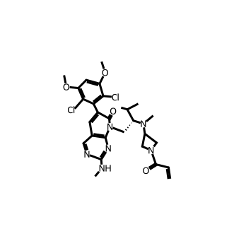 C=CC(=O)N1CC(N(C)[C@H](Cn2c(=O)c(-c3c(Cl)c(OC)cc(OC)c3Cl)cc3cnc(NC)nc32)C(C)C)C1